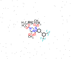 COC(=O)[C@@H]1CN(C(=O)OC(C)(C)C)CCN1C(=O)c1cc(-c2cc(C(F)(F)F)cc(C(F)(F)F)c2)ccc1NC(=O)OC(C)(C)C